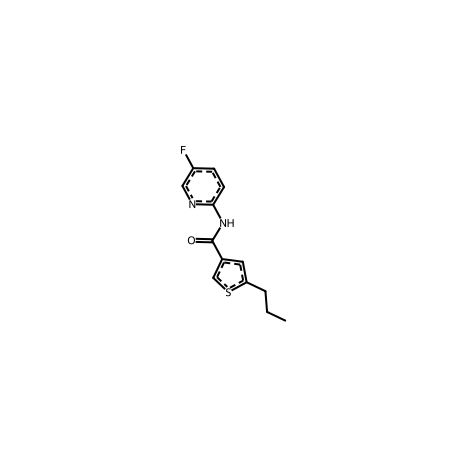 CCCc1cc(C(=O)Nc2ccc(F)cn2)cs1